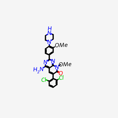 COc1cc(-c2nc(N)c3cc(-c4c(Cl)cccc4Cl)c(=O)n(OC)c3n2)ccc1N1CCNCC1